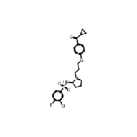 O=C(c1ccc(OCCCN2CCCC2NS(=O)(=O)c2ccc(F)c(Cl)c2)cc1)C1CC1